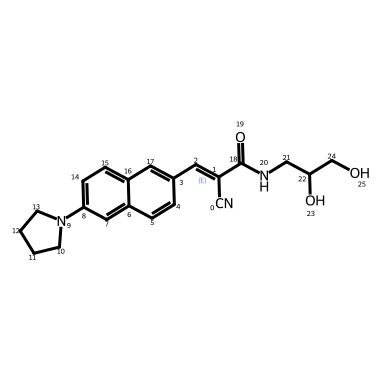 N#C/C(=C\c1ccc2cc(N3CCCC3)ccc2c1)C(=O)NCC(O)CO